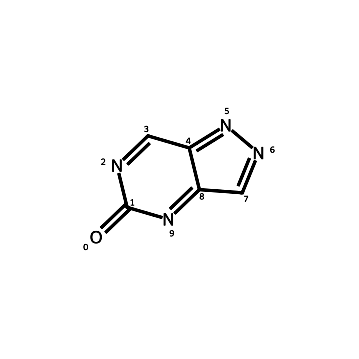 O=C1N=CC2=NN=CC2=N1